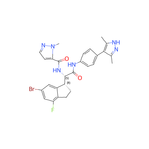 Cc1n[nH]c(C)c1-c1ccc(NC(=O)[C@@H](NC(=O)c2ccnn2C)[C@@H]2CCc3c(F)cc(Br)cc32)cc1